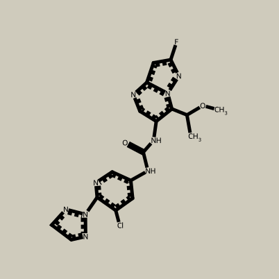 COC(C)c1c(NC(=O)Nc2cnc(-n3nccn3)c(Cl)c2)cnc2cc(F)nn12